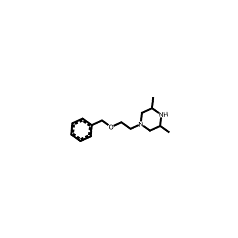 CC1CN(CCOCc2ccccc2)CC(C)N1